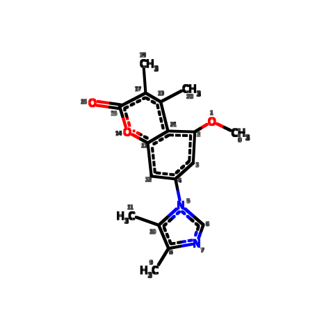 COc1cc(-n2cnc(C)c2C)cc2oc(=O)c(C)c(C)c12